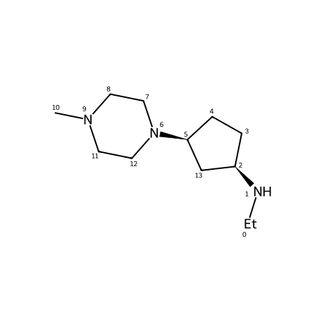 CCN[C@@H]1CC[C@H](N2CCN(C)CC2)C1